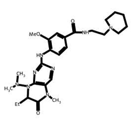 CCC1C(=O)N(C)c2cnc(Nc3ccc(C(=O)NCCN4CCCCC4)cc3OC)nc2N1N(C)C